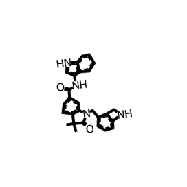 CC1(C)C(=O)N(Cc2cccc3c2CN3)c2cc(C(=O)Nc3c[nH]c4ccccc34)ccc21